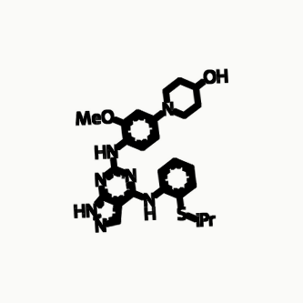 COc1cc(N2CCC(O)CC2)ccc1Nc1nc(Nc2ccccc2SC(C)C)c2cn[nH]c2n1